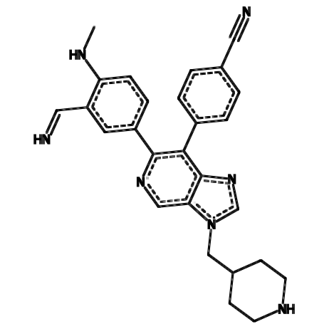 CNc1ccc(-c2ncc3c(ncn3CC3CCNCC3)c2-c2ccc(C#N)cc2)cc1C=N